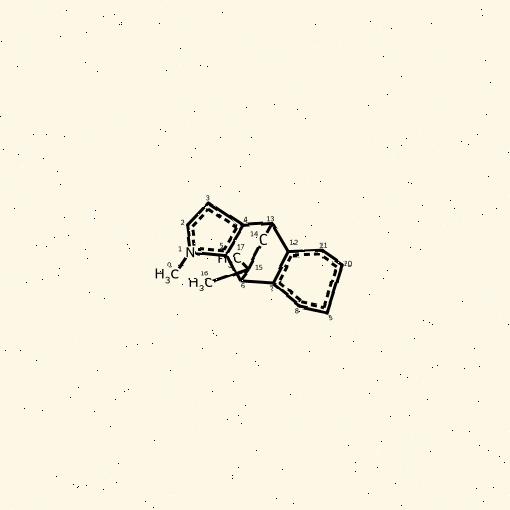 Cn1ccc2c1C1c3ccccc3C2CC1(C)C